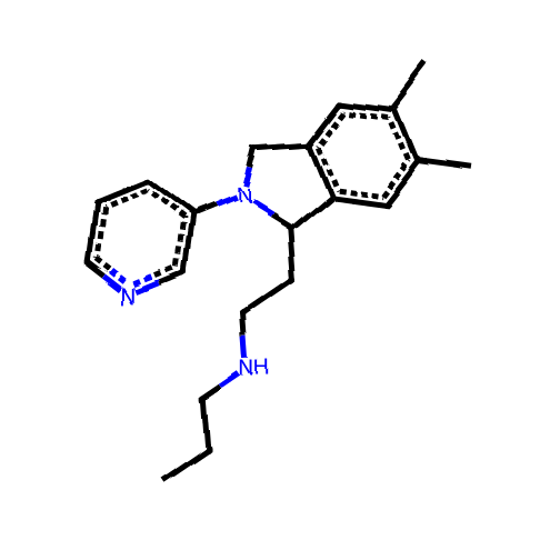 CCCNCCC1c2cc(C)c(C)cc2CN1c1cccnc1